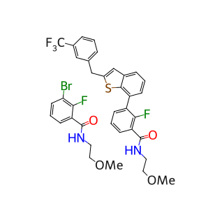 COCCNC(=O)c1cccc(-c2cccc3cc(Cc4cccc(C(F)(F)F)c4)sc23)c1F.COCCNC(=O)c1cccc(Br)c1F